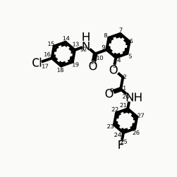 O=C(COc1ccccc1C(=O)Nc1ccc(Cl)cc1)Nc1ccc(F)cc1